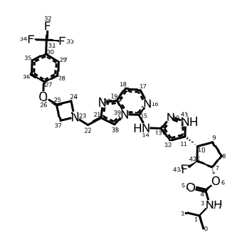 CC(C)NC(=O)O[C@H]1CC[C@@H](c2cc(Nc3nccc4nc(CN5CC(Oc6ccc(C(F)(F)F)cc6)C5)cn34)n[nH]2)[C@@H]1F